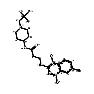 O=C(CCNc1n[n+]([O-])c2cc(Br)ccc2[n+]1[O-])OC1CCN(CC(F)(F)F)CC1